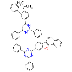 CC1(C)c2ccccc2-c2cc(-c3cc(-c4cccc(-c5cccc(-c6nc(-c7ccccc7)nc(-c7ccc8c(c7)oc7c9ccccc9ccc87)n6)c5)c4)nc(-c4ccccc4)n3)ccc21